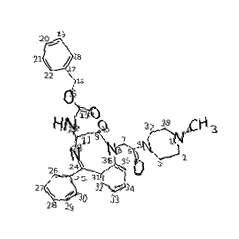 CN1CCN(C(=O)CN2C(=O)C(NC(=O)OCc3ccccc3)N=C(c3ccccc3)c3ccccc32)CC1